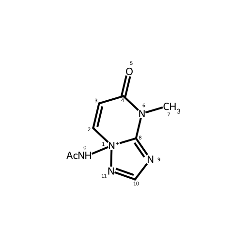 CC(=O)N[N+]12C=CC(=O)N(C)C1=NC=N2